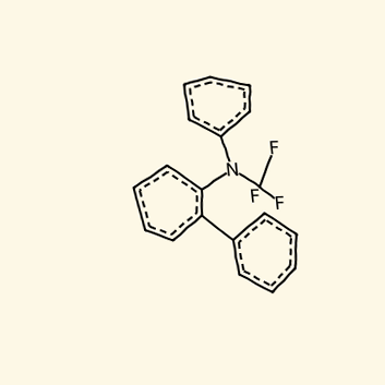 FC(F)(F)N(c1ccccc1)c1ccccc1-c1ccccc1